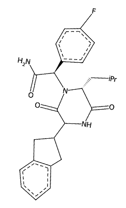 CC(C)C[C@@H]1C(=O)NC(C2Cc3ccccc3C2)C(=O)N1[C@@H](C(N)=O)c1ccc(F)cc1